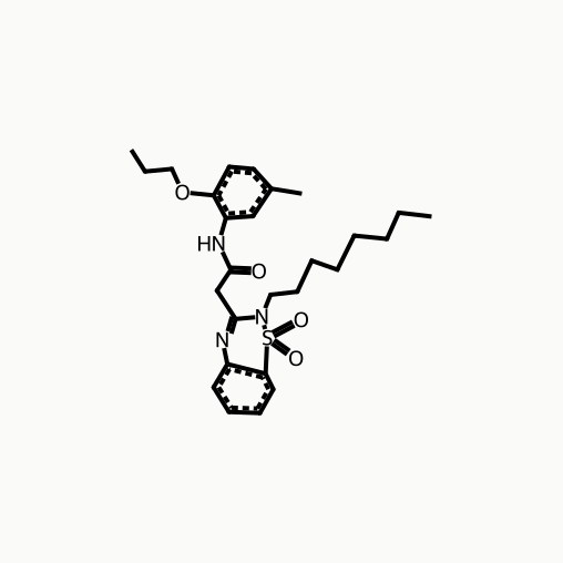 CCCCCCCCN1C(CC(=O)Nc2cc(C)ccc2OCCC)=Nc2ccccc2S1(=O)=O